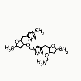 BC1CC(OCn2cc(CC3OC(B)CC3OCN)nn2)C(Cc2cn(C)nn2)O1